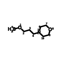 BOCCCN1CCOCC1